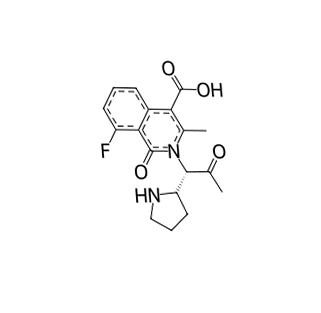 CC(=O)[C@H](C1CCCN1)n1c(C)c(C(=O)O)c2cccc(F)c2c1=O